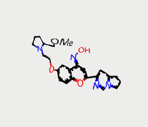 COCC1CCCN1CCOc1ccc2oc(-c3cc4cccn4cn3)cc(=NO)c2c1